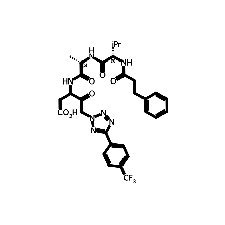 CC(C)[C@H](NC(=O)CCc1ccccc1)C(=O)N[C@@H](C)C(=O)NC(CC(=O)O)C(=O)Cn1nnc(-c2ccc(C(F)(F)F)cc2)n1